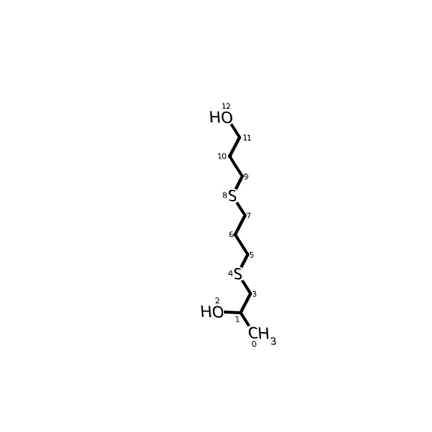 CC(O)CSCCCSCCCO